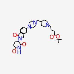 CC(C)(C)OC(=O)CCCN1CCC(CN2CCN(c3ccc4c(c3)CN(C3CCC(=O)NC3=O)C4=O)CC2)CC1